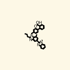 CCCc1nc2cc(-c3nc4ccccc4n3C)cc(C)c2n1Cc1ccc(-c2ccccc2C(=O)O)cc1